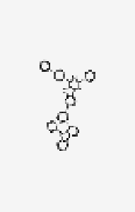 c1ccc(-c2ccc(-c3nc(-c4ccccc4)nc4c3oc3cc(-c5cccc(-c6cccc7c8ccccc8n(-c8ccccc8)c67)c5)ccc34)cc2)cc1